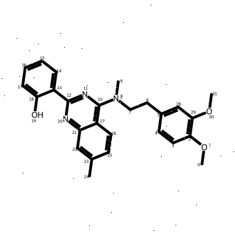 COc1ccc(CCN(C)c2nc(-c3ccccc3O)nc3cc(C)ccc23)cc1OC